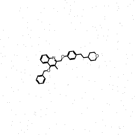 Cc1c(COc2ccc(CCC3CCOCC3)cc2)nc2ccccc2c1OCc1ccccc1